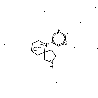 c1ncc([N+]23CCC(CC2)CC32CCNC2)cn1